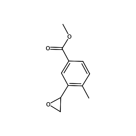 COC(=O)c1ccc(C)c(C2CO2)c1